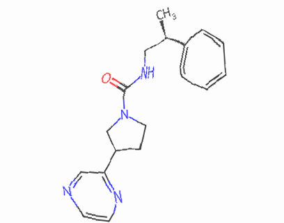 C[C@H](CNC(=O)N1CCC(c2cnccn2)C1)c1ccccc1